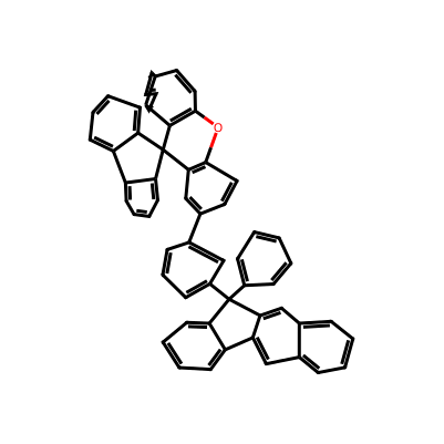 c1ccc(C2(c3cccc(-c4ccc5c(c4)C4(c6ccccc6-c6ccccc64)c4c(ccc6ccccc46)O5)c3)c3ccccc3-c3cc4ccccc4cc32)cc1